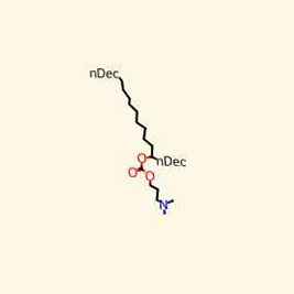 CCCCCCCCCCCCCCCCCCCC(CCCCCCCCCC)OC(=O)OCCCN(C)C